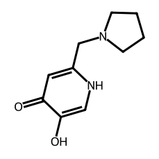 O=c1cc(CN2CCCC2)[nH]cc1O